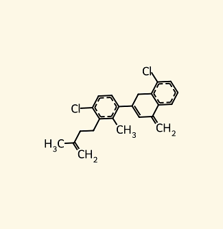 C=C(C)CCc1c(Cl)ccc(C2=CC(=C)c3cccc(Cl)c3C2)c1C